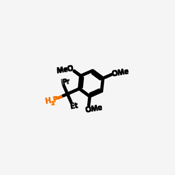 CCC(P)(c1c(OC)cc(OC)cc1OC)C(C)C